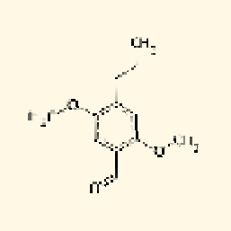 CCCc1cc(OC)c(C=O)cc1OC